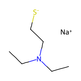 CCN(CC)CC[S-].[Na+]